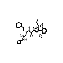 CCCn1nc(C(=O)N[C@@H](CCC2CCCCC2)CC(=O)NC2CCC2)cc1-c1c(OC)cccc1OC